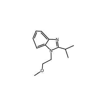 COCCn1c(C(C)C)nc2ccccc21